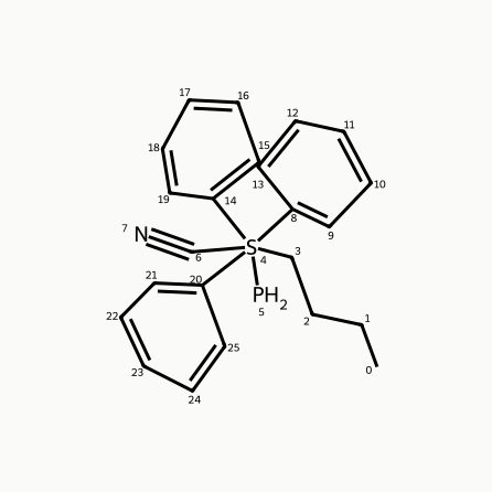 CCCCS(P)(C#N)(c1ccccc1)(c1ccccc1)c1ccccc1